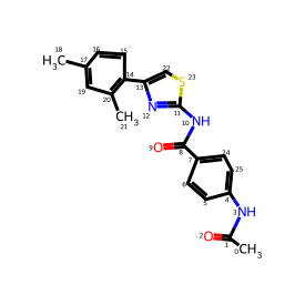 CC(=O)Nc1ccc(C(=O)Nc2nc(-c3ccc(C)cc3C)cs2)cc1